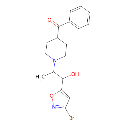 CC(C(O)c1cc(Br)no1)N1CCC(C(=O)c2ccccc2)CC1